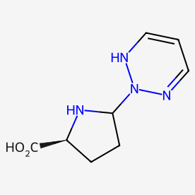 O=C(O)[C@@H]1CCC(N2N=CC=CN2)N1